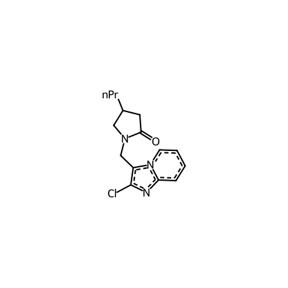 CCCC1CC(=O)N(Cc2c(Cl)nc3ccccn23)C1